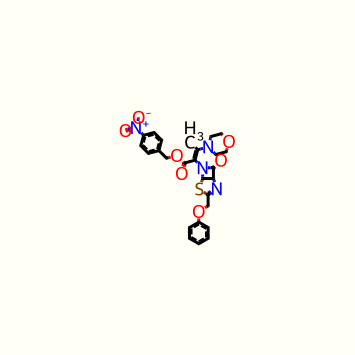 CC(=C(C(=O)OCc1ccc([N+](=O)[O-])cc1)N1C(=O)C2N=C(COc3ccccc3)SC21)N1CCOCC1